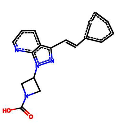 O=C(O)N1CC(n2nc(C=Cc3ccccc3)c3cccnc32)C1